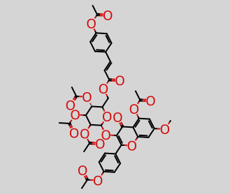 COc1cc(OC(C)=O)c2c(=O)c(O[C@@H]3OC(COC(=O)/C=C/c4ccc(OC(C)=O)cc4)[C@@H](OC(C)=O)C(OC(C)=O)C3OC(C)=O)c(-c3ccc(OC(C)=O)cc3)oc2c1